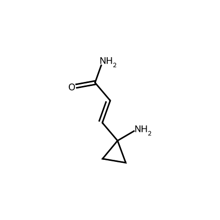 NC(=O)/C=C/C1(N)CC1